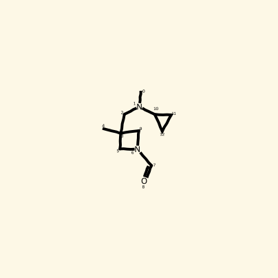 CN(CC1(C)CN(C=O)C1)C1CC1